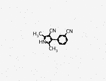 Cc1[nH]c(C)c(-c2cccc(C#N)c2)c1C#N